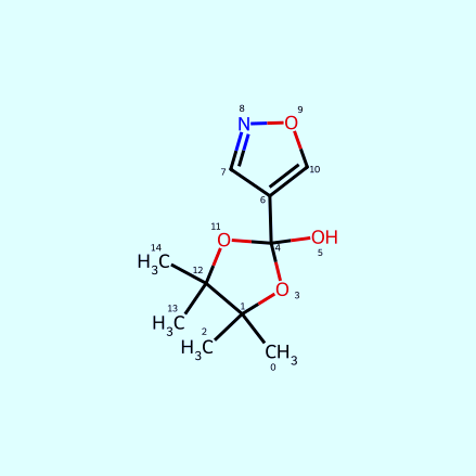 CC1(C)OC(O)(c2cnoc2)OC1(C)C